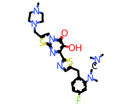 CN(C)CCN(C)c1cc(F)ccc1Cc1cnc(-c2nc3sc(CN4CCN(C)CC4)cn3c(=O)c2O)s1